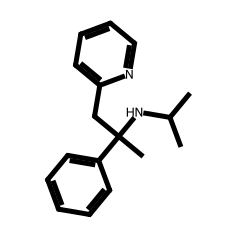 CC(C)NC(C)(Cc1ccccn1)c1ccccc1